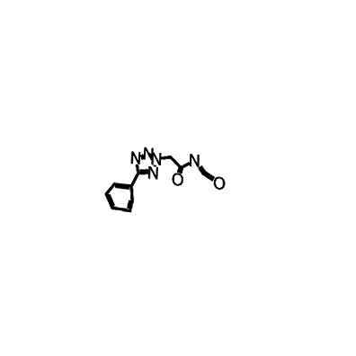 O=C=NC(=O)Cn1nnc(-c2ccccc2)n1